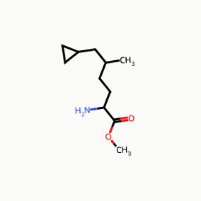 COC(=O)C(N)CCC(C)CC1CC1